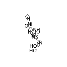 O=C(NCCN1CCCC1)c1cnc2c(c1)[nH]c(=O)c1c2nn2cc(-c3cnn(CC(O)CO)c3)sc12